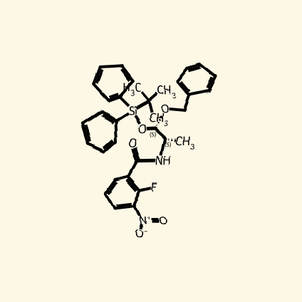 C[C@H](NC(=O)c1cccc([N+](=O)[O-])c1F)[C@@H](OCc1ccccc1)O[Si](c1ccccc1)(c1ccccc1)C(C)(C)C